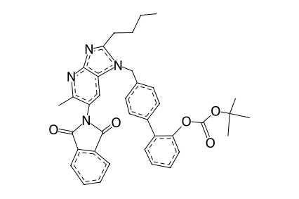 CCCCc1nc2nc(C)c(N3C(=O)c4ccccc4C3=O)cc2n1Cc1ccc(-c2ccccc2OC(=O)OC(C)(C)C)cc1